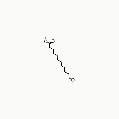 COC(=O)CCCCCCC/C=C/CC=O